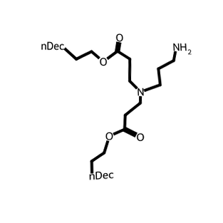 CCCCCCCCCCCCOC(=O)CCN(CCCN)CCC(=O)OCCCCCCCCCCCC